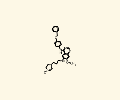 COc1cc2ncnc(Nc3ccc(OCc4ccccc4)cc3)c2cc1NCCCN1CC[S+]([O-])CC1